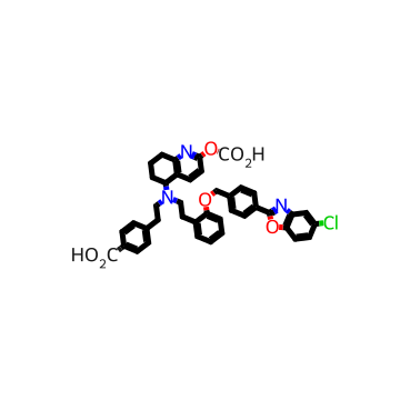 O=C(O)Oc1ccc2c(n1)CCCC2N(CCc1ccc(C(=O)O)cc1)CCc1ccccc1OCc1ccc(-c2nc3cc(Cl)ccc3o2)cc1